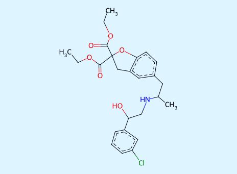 CCOC(=O)C1(C(=O)OCC)Cc2cc(CC(C)NCC(O)c3cccc(Cl)c3)ccc2O1